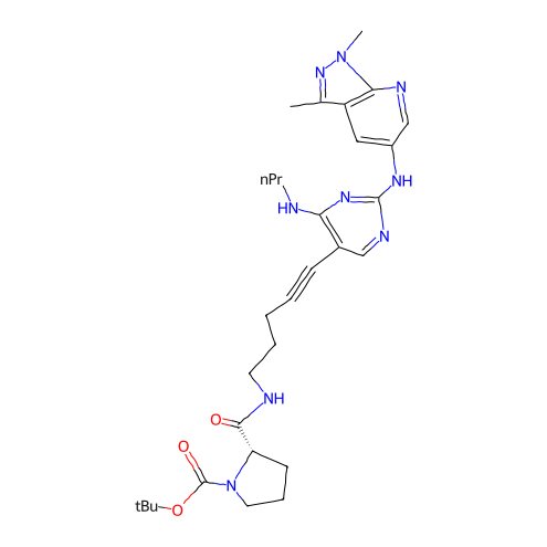 CCCNc1nc(Nc2cnc3c(c2)c(C)nn3C)ncc1C#CCCCNC(=O)[C@@H]1CCCN1C(=O)OC(C)(C)C